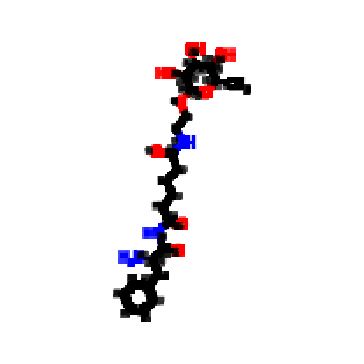 C[C@@H]1O[C@@H](OCCNC(=O)CCCCC(=O)NC(=O)[C@@H](N)Cc2ccccc2)[C@@H](O)[C@H](O)[C@@H]1O